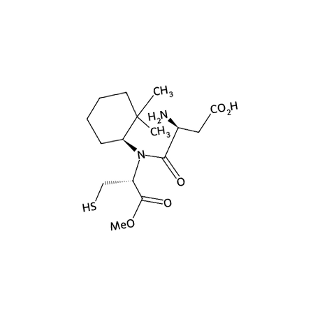 COC(=O)[C@H](CS)N(C(=O)[C@@H](N)CC(=O)O)[C@H]1CCCCC1(C)C